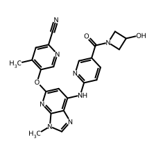 Cc1cc(C#N)ncc1Oc1cc(Nc2ccc(C(=O)N3CC(O)C3)cn2)c2ncn(C)c2n1